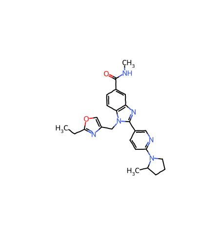 CCc1nc(Cn2c(-c3ccc(N4CCCC4C)nc3)nc3cc(C(=O)NC)ccc32)co1